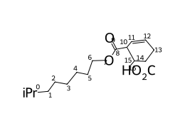 CC(C)CCCCCCOC(=O)C1C=CCCC1C(=O)O